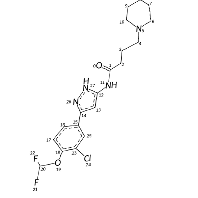 O=C(CCCN1CCCCC1)Nc1cc(-c2ccc(OC(F)F)c(Cl)c2)n[nH]1